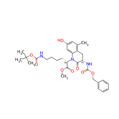 COC(=O)[C@H](CCCCNC(=O)OC(C)(C)C)N1C(=O)[C@@H](NC(=O)OCc2ccccc2)Cc2c(C)cc(O)cc21